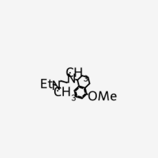 CCN(C)CCN(C)C1CCCc2c(OC)cccc21